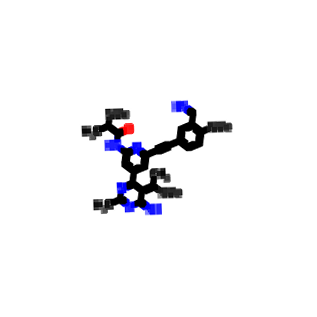 CN/C(C)=C1\C(=N)N=C(C)N=C1c1cc(C#Cc2ccc(NC)c(C=N)c2)nc(NC(=O)C(C)NC)c1